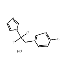 Cl.Clc1ccc(CC(Cl)(Cl)n2ccnc2)cc1